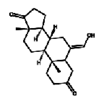 C[C@]12CCC(=O)CC1C(=CO)C[C@@H]1[C@@H]2CC[C@]2(C)C(=O)CC[C@@H]12